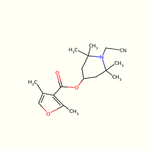 Cc1coc(C)c1C(=O)OC1CC(C)(C)N(CC#N)C(C)(C)C1